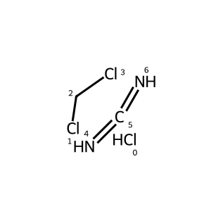 Cl.ClCCl.N=C=N